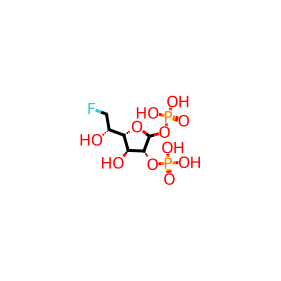 O=P(O)(O)OC1O[C@@H]([C@H](O)CF)[C@H](O)[C@H]1OP(=O)(O)O